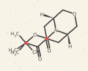 COC(=O)C1C[C@H]2COC[C@@H](C1)N2C(=O)OC(C)(C)C